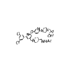 CC(=O)NCC1CCN(Cc2cc(Oc3ccc(N4CCN(CC5(CO)CC5)CC4)nc3)nc(-c3cc(Cl)cc(Cl)c3)c2)CC1